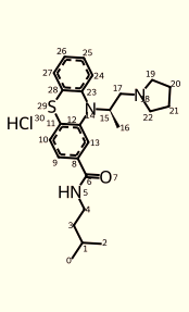 CC(C)CCNC(=O)c1ccc2c(c1)N([C@H](C)CN1CCCC1)c1ccccc1S2.Cl